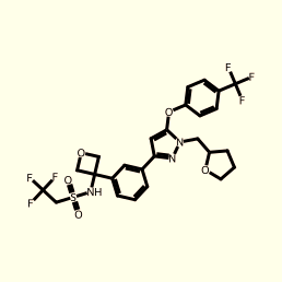 O=S(=O)(CC(F)(F)F)NC1(c2cccc(-c3cc(Oc4ccc(C(F)(F)F)cc4)n(CC4CCCO4)n3)c2)COC1